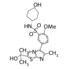 COc1ccc(-c2c(C)nc3sc(C(C)(C)O)cn23)cc1S(=O)(=O)N[C@H]1CC[C@@H](O)CC1